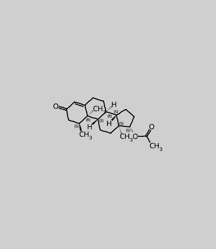 CC(=O)O[C@H]1CC[C@H]2[C@@H]3CCC4=CC(=O)C[C@H](C)[C@]4(C)[C@H]3CC[C@]12C